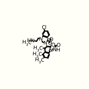 CNCCN1CN([C@H](c2n[nH]c(=O)o2)[C@H](C)c2c(F)ccc(C)c2C)S(=O)(=O)c2ccc(Cl)cc21